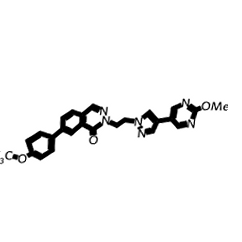 COc1ncc(-c2cnn(CCn3ncc4ccc(-c5ccc(OC(F)(F)F)cc5)cc4c3=O)c2)cn1